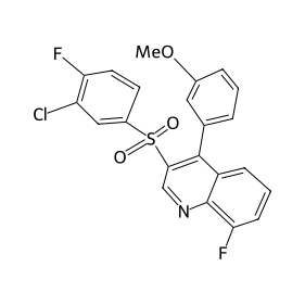 COc1cccc(-c2c(S(=O)(=O)c3ccc(F)c(Cl)c3)cnc3c(F)cccc23)c1